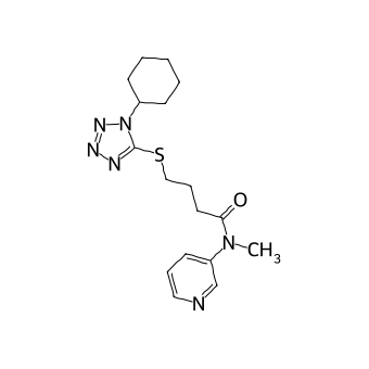 CN(C(=O)CCCSc1nnnn1C1CCCCC1)c1cccnc1